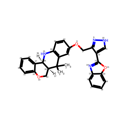 CC1(C)c2cc(OCc3n[nH]cc3-c3nc4ccccc4o3)ccc2N[C@@H]2c3ccccc3OC[C@@H]21